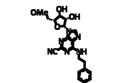 COC[C@H]1O[C@@H](n2cnc3c(NCCc4ccccc4)nc(C#N)nc32)[C@@H](O)[C@@H]1O